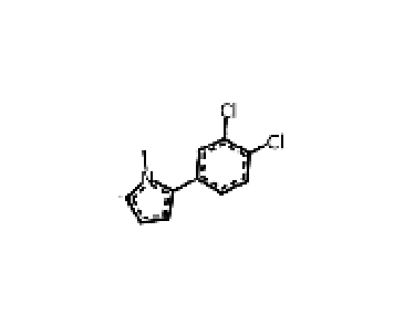 Cn1[c]ccc1-c1ccc(Cl)c(Cl)c1